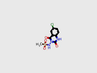 CS(=O)(=O)Nn1c(=O)[nH]c2ccc(Cl)cc2c1=O